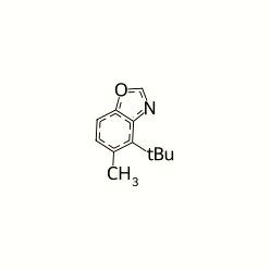 Cc1ccc2ocnc2c1C(C)(C)C